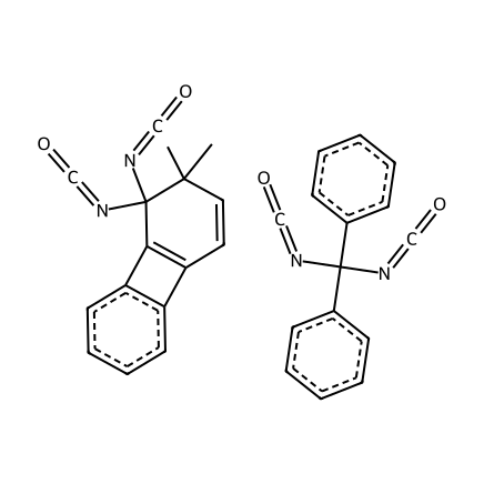 CC1(C)C=CC2=C(c3ccccc32)C1(N=C=O)N=C=O.O=C=NC(N=C=O)(c1ccccc1)c1ccccc1